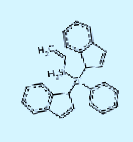 C=C[SiH2][Zr]([c]1ccccc1)([CH]1C=Cc2ccccc21)[CH]1C=Cc2ccccc21